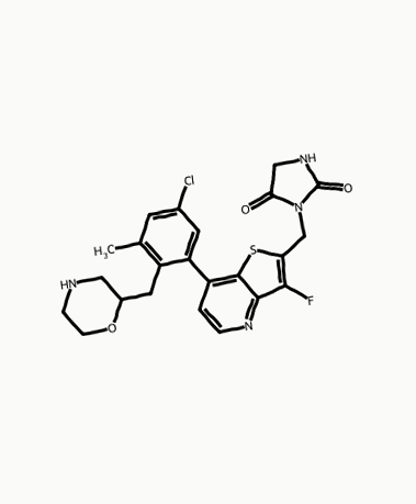 Cc1cc(Cl)cc(-c2ccnc3c(F)c(CN4C(=O)CNC4=O)sc23)c1CC1CNCCO1